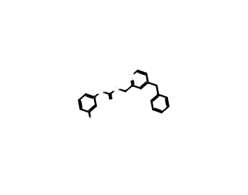 Fc1cccc(NC(=S)NCc2cc(Cc3ccccc3)ccn2)c1